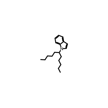 CCCCCC(CCCCC)n1ccc2ccccc21